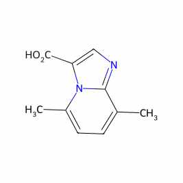 Cc1ccc(C)n2c(C(=O)O)cnc12